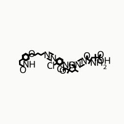 CC(CC(C)(C)C(=O)Nc1ccc(N2CCN(CCCCOc3ccc4c(c3)NC(=O)CC4)CC2)c(Cl)c1Cl)C(=O)N1CCN(C(=O)C(C)(N)CC(C)(C)C(=O)O)CC1